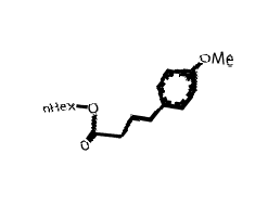 CCCCCCOC(=O)CCCc1ccc(OC)cc1